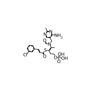 C/C(=C(\CCOP(=O)(O)O)SC(=O)/C=C/c1cccc(Cl)c1)N(C=O)Cc1cnc(C)nc1N